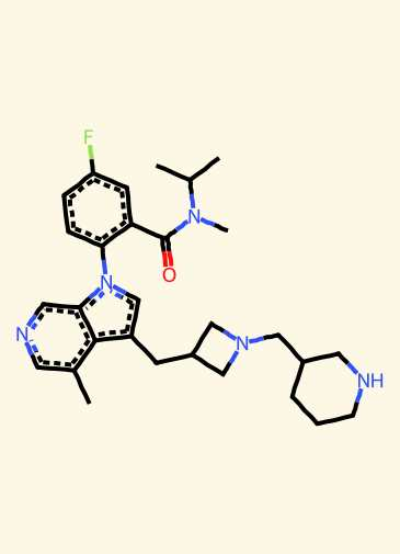 Cc1cncc2c1c(CC1CN(CC3CCCNC3)C1)cn2-c1ccc(F)cc1C(=O)N(C)C(C)C